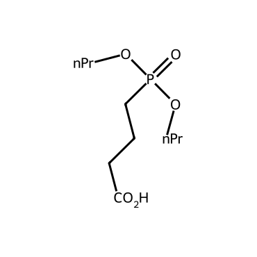 CCCOP(=O)(CCCC(=O)O)OCCC